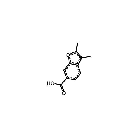 Cc1oc2cc(C(=O)O)ccc2c1C